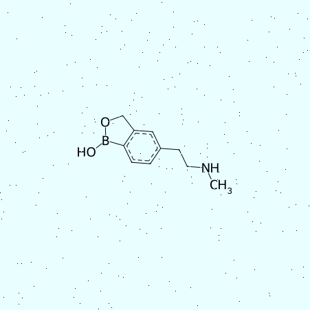 CNCCc1ccc2c(c1)COB2O